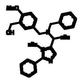 CCCCC(c1cnc(-c2ccccc2)n1CCCC)N(Cc1ccccc1)Cc1ccc(OC)c(CO)c1